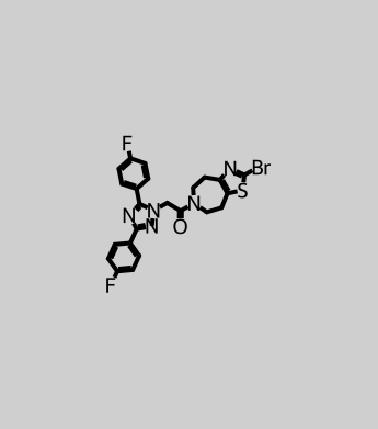 O=C(Cn1nc(-c2ccc(F)cc2)nc1-c1ccc(F)cc1)N1CCc2nc(Br)sc2CC1